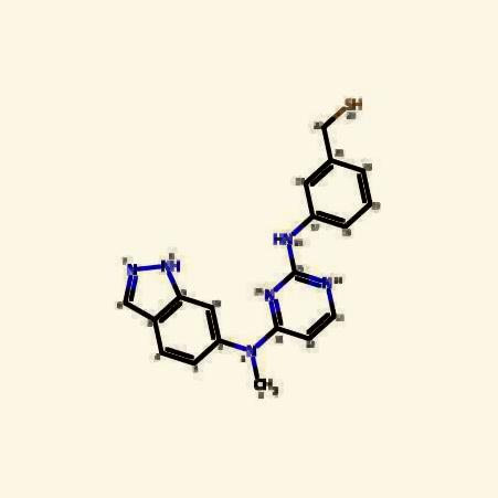 CN(c1ccc2cn[nH]c2c1)c1ccnc(Nc2cccc(CS)c2)n1